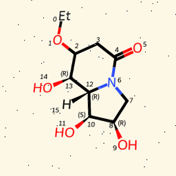 CCOC1CC(=O)N2C[C@@H](O)[C@@H](O)[C@@H]2[C@H]1O